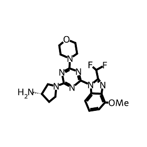 COc1cccc2c1nc(C(F)F)n2-c1nc(N2CCOCC2)nc(N2CC[C@H](N)C2)n1